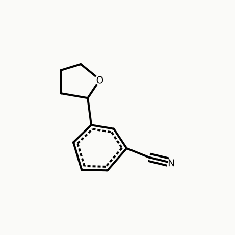 N#Cc1cccc(C2CCCO2)c1